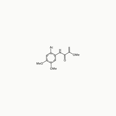 C=C(OC)C(=O)Nc1cc(OC)c(OC)cc1C(C)=O